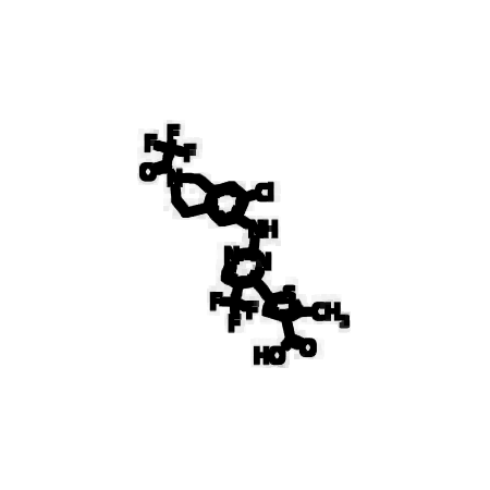 Cc1sc(-c2nc(Nc3cc4c(cc3Cl)CN(C(=O)C(F)(F)F)CC4)ncc2C(F)(F)F)cc1C(=O)O